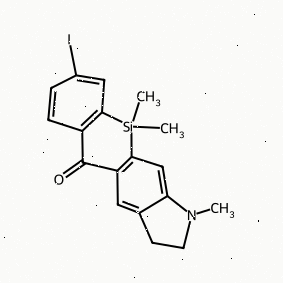 CN1CCc2cc3c(cc21)[Si](C)(C)c1cc(I)ccc1C3=O